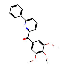 COc1cc(C(=O)c2cccc(-c3ccccc3)n2)cc(OC)c1OC